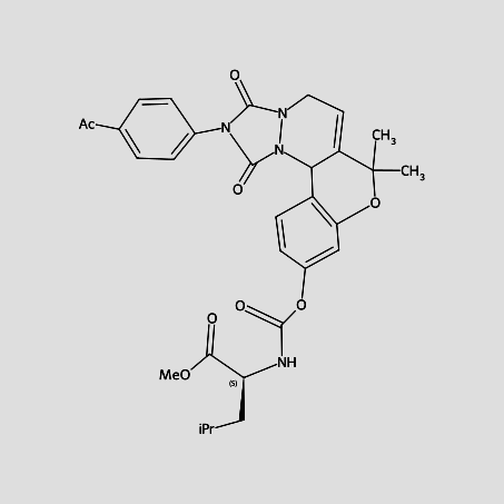 COC(=O)[C@H](CC(C)C)NC(=O)Oc1ccc2c(c1)OC(C)(C)C1=CCn3c(=O)n(-c4ccc(C(C)=O)cc4)c(=O)n3C12